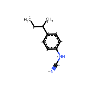 CCC(C)c1ccc(NC#N)cc1